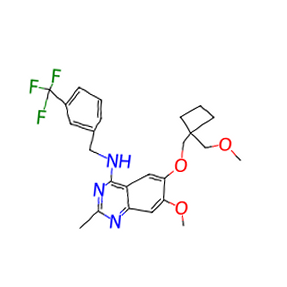 COCC1(COc2cc3c(NCc4cccc(C(F)(F)F)c4)nc(C)nc3cc2OC)CCC1